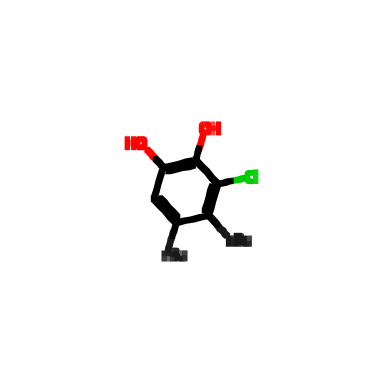 CCCCc1cc(O)c(O)c(Cl)c1CCCC